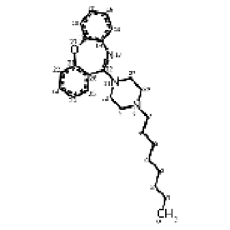 CCCCCCCCN1CCN(C2=Nc3ccccc3Oc3ccccc32)CC1